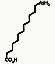 O=C(O)CCCCCCCCCCC[AsH2]